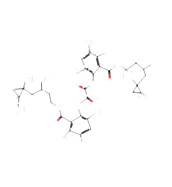 CC(CCOC(=O)c1c(Cl)c(Cl)cc(Cl)c1OC(=O)C(=O)Oc1c(Cl)cc(Cl)c(Cl)c1C(=O)OCCC(C)CC1(C)CC1C)CC1(C)CC1C